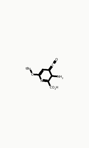 CC(C)(C)OC1=CC(=C=O)C(N)C(C(=O)O)=N1